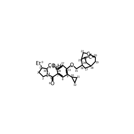 CC[C@@H]1CCN(C(=O)c2cc(C3CC3)c(OCC3CC4CC5CCC3C(C5)C4)cc2F)[C@@H]1C(=O)O